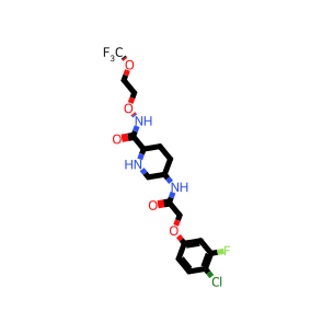 O=C(COc1ccc(Cl)c(F)c1)NC1CCC(C(=O)NOCCOC(F)(F)F)NC1